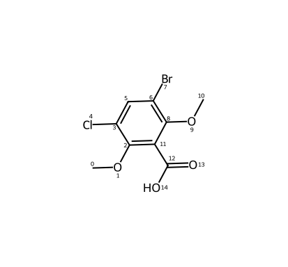 COc1c(Cl)cc(Br)c(OC)c1C(=O)O